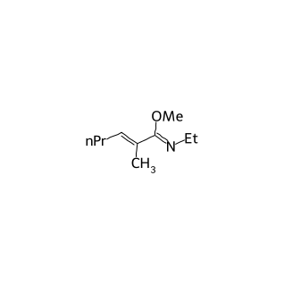 CCC/C=C(C)/C(=N/CC)OC